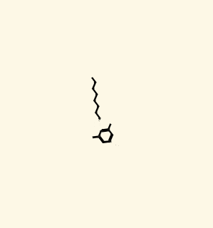 CCCCCCCCOc1c(C)cc(Br)cc1C